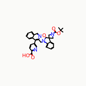 CC(C)(C)OC(=O)N1CC2(C1)C(=O)N(Cc1ncc3ccccc3c1-c1ccc(C(=O)O)nc1)c1ccccc12